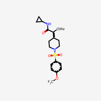 COC(C(=O)NC1CC1)=C1CCN(S(=O)(=O)c2ccc(OC(F)(F)F)cc2)CC1